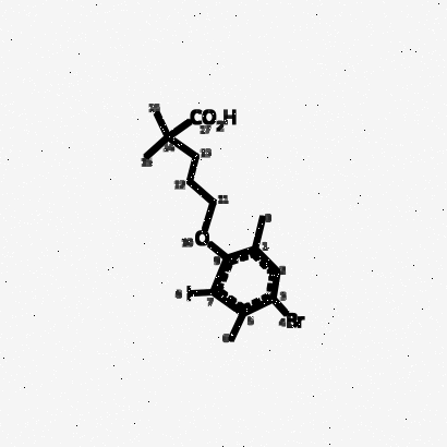 Cc1cc(Br)c(C)c(I)c1OCCCC(C)(C)C(=O)O